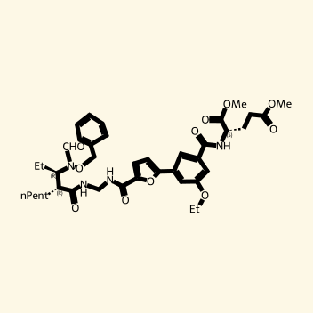 CCCCC[C@@H](C(=O)NCNC(=O)c1ccc(-c2cc(OCC)cc(C(=O)N[C@@H](CCC(=O)OC)C(=O)OC)c2)o1)[C@@H](CC)N(C=O)OCc1ccccc1